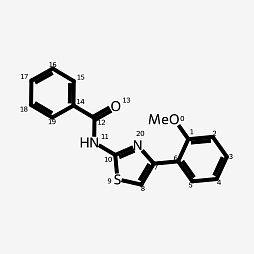 COc1ccccc1-c1csc(NC(=O)c2ccccc2)n1